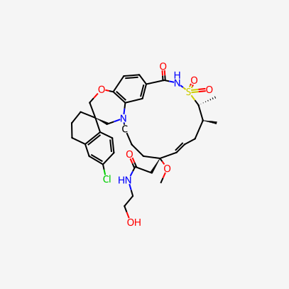 CO[C@@]1(CC(=O)NCCO)/C=C/C[C@H](C)[C@@H](C)S(=O)(=O)NC(=O)c2ccc3c(c2)N(CCC1)C[C@@]1(CCCc2cc(Cl)ccc21)CO3